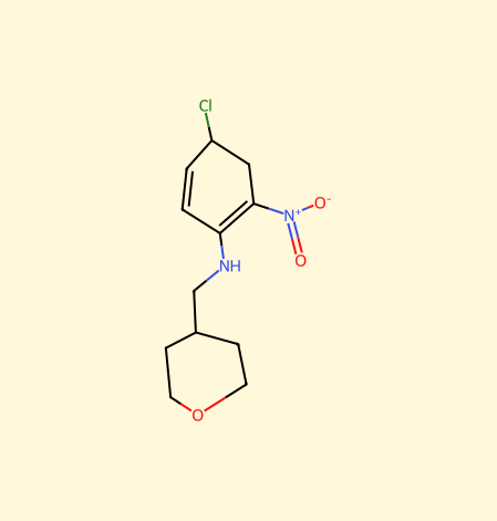 O=[N+]([O-])C1=C(NCC2CCOCC2)C=CC(Cl)C1